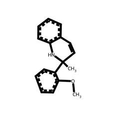 COc1ccccc1C1(C)C=Cc2ccccc2N1